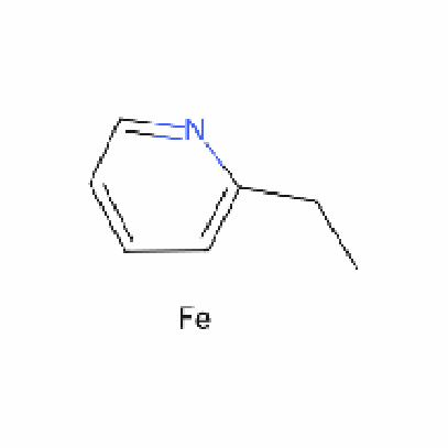 CCc1ccccn1.[Fe]